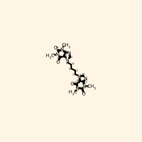 Cn1c(=O)c2c(ncn2CCCCCn2cnc3c2c(=O)n(C)c(=O)n3C)n(C)c1=O